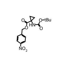 CC(C)(C)OC(=O)NC1(C(=O)OCc2ccc([N+](=O)[O-])cc2)CC1